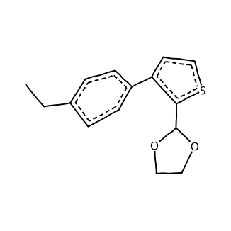 CCc1ccc(-c2ccsc2C2OCCO2)cc1